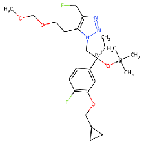 CC[C@](Cn1nnc(CF)c1CCOCOC)(O[Si](C)(C)C)c1ccc(F)c(OCC2CC2)c1